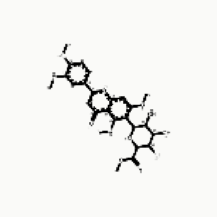 COC(=O)C1OC(c2c(OC)cc3oc(-c4ccc(OC)c(OC)c4)cc(=O)c3c2OC)C(O)C(O)C1O